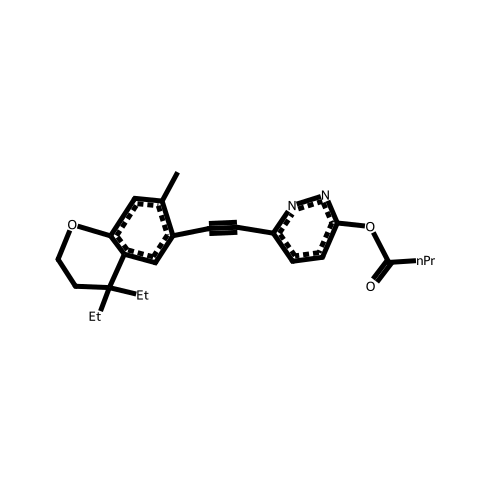 CCCC(=O)Oc1ccc(C#Cc2cc3c(cc2C)OCCC3(CC)CC)nn1